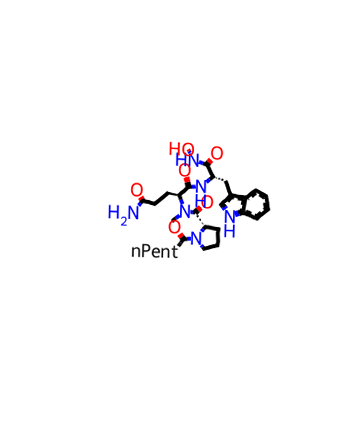 CCCCCC(=O)N1CCC[C@H]1C(=O)N(C)[C@@H](CCC(N)=O)C(=O)N[C@@H](Cc1c[nH]c2ccccc12)C(=O)NO